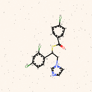 O=C(SC(Cn1ccnc1)c1ccc(Cl)cc1Cl)c1ccc(Cl)cc1